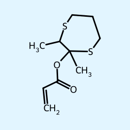 C=CC(=O)OC1(C)SCCCSC1C